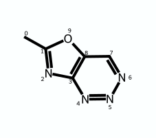 Cc1nc2nnncc2o1